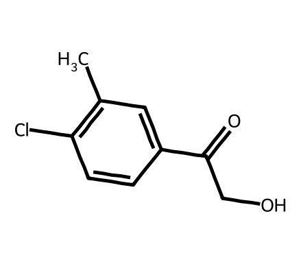 Cc1cc(C(=O)CO)ccc1Cl